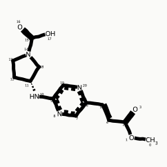 COC(=O)C=Cc1cnc(N[C@@H]2CCN(C(=O)O)C2)cn1